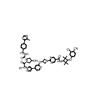 Cc1ncsc1-c1ccc([C@H](C)NC(=O)[C@@H]2CC(O)CN2C(=O)[C@H](C(C)C)n2cc(-c3ccnc(OC4CN(c5ncc(C(=O)NC6C(C)(C)C(Oc7ccc(C#N)c(Cl)c7)C6(C)C)cn5)C4)c3)cn2)cc1